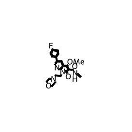 C=CNC(=O)c1c(OC)c2cc(-c3ccc(F)cc3)cnc2n(CCN2CCOCC2)c1=O